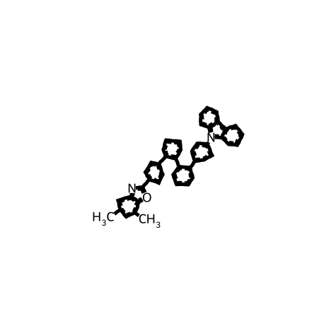 Cc1cc(C)c2oc(-c3ccc(-c4ccccc4-c4ccccc4-c4ccc(-n5c6ccccc6c6ccccc65)cc4)cc3)nc2c1